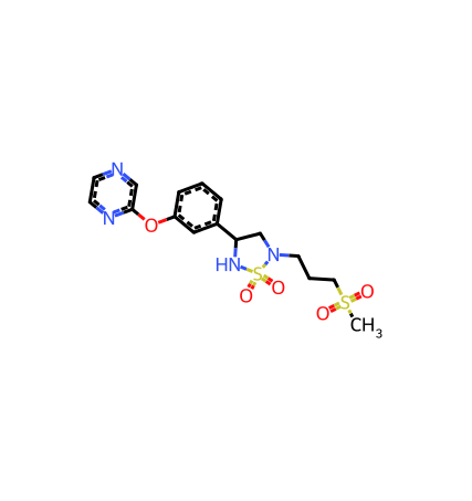 CS(=O)(=O)CCCN1CC(c2cccc(Oc3cnccn3)c2)NS1(=O)=O